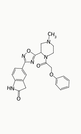 CN1CCN(C(=O)COc2ccccc2)C(c2nc(-c3ccc4c(c3)CC(=O)N4)no2)C1